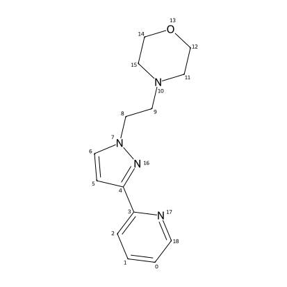 c1ccc(-c2ccn(CCN3CCOCC3)n2)nc1